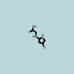 O=C(O)CNc1cc(Cl)c[nH]1